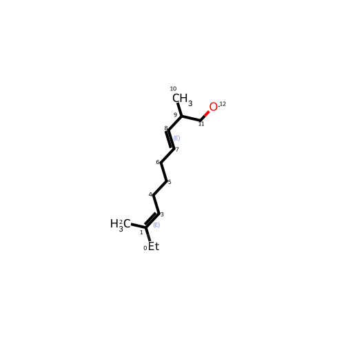 CC/C(C)=C/CCC/C=C/C(C)C[O]